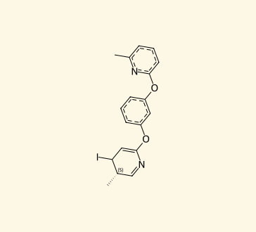 Cc1cccc(Oc2cccc(OC3=CC(I)[C@@H](C)C=N3)c2)n1